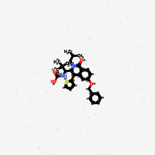 CC(C)Cn1c(C(NC(=O)O)C(C)(C)C)c(-c2cccs2)c2cc(OCc3ccccc3)ccc2c1=O